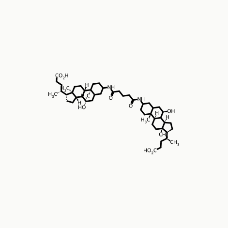 C[C@H](CCC(=O)O)[C@H]1CC[C@H]2C3[C@@H](O)CC4CC(NC(=O)CCCC(=O)NC5CC[C@]6(C)C(C5)C[C@@H](O)C5[C@H]7CC[C@@H]([C@@H](C)CCC(=O)O)[C@]7(C)CC[C@H]56)CC[C@]4(C)[C@H]3CC[C@]12C